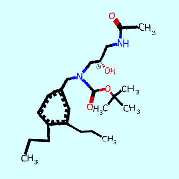 CCCc1ccc(CN(C[C@@H](O)CNC(C)=O)C(=O)OC(C)(C)C)cc1CCC